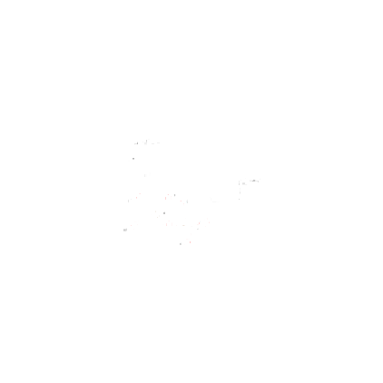 CCCCCCCCCCCCOS(=O)(=O)OS(=O)(=O)OCCCCCCCCCCCC